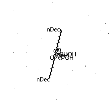 CCCCCCCCCC/C=C\CCCCCCCCCC(=O)O[C@H](COC(=O)CCCCCCCCCCCCCCCCCCCCC)COP(=O)(O)OC[C@@H](O)CO